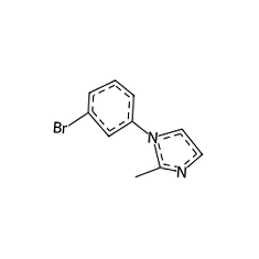 Cc1nccn1-c1cccc(Br)c1